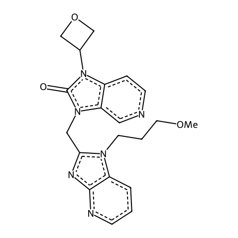 COCCCn1c(Cn2c(=O)n(C3COC3)c3ccncc32)nc2ncccc21